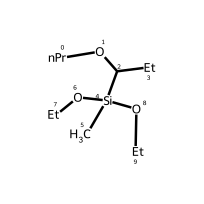 CCCOC(CC)[Si](C)(OCC)OCC